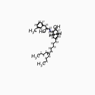 CCCCN(CCCC)CCCCCC1=C[C@H]2C[C@@H](O)[C@H](/C=C/[C@@H](O)Cc3cccc(C)c3)[C@H]2C1